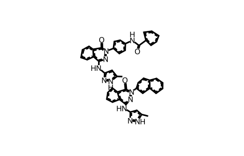 Cc1cc(Nc2nn(-c3ccc(NC(=O)c4ccccc4)cc3)c(=O)c3ccccc23)n[nH]1.Cc1cc(Nc2nn(-c3ccc4ccccc4c3)c(=O)c3ccccc23)n[nH]1